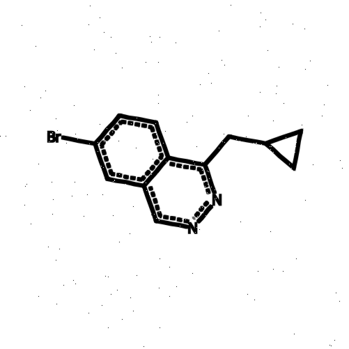 Brc1ccc2c(CC3CC3)nncc2c1